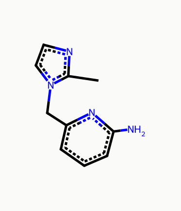 Cc1nccn1Cc1cccc(N)n1